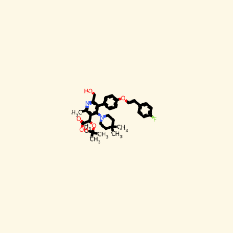 Cc1nc(CO)c(-c2ccc(OCCc3ccc(F)cc3)cc2)c(N2CCC(C)(C)CC2)c1C(OC(C)(C)C)C(=O)O